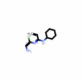 C=C/C(=N\C(Cl)=C/N)NC1CCCCC1